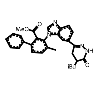 CCC(C)C1CC(c2ccc3ncn(-c4c(C)ccc(-c5ccccc5)c4C(=O)OC)c3c2)=NNC1=O